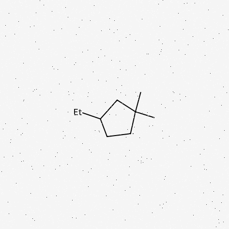 [CH2]CC1C[CH]C(C)(C)C1